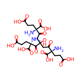 N[C@@](CCC(=O)O)(C(=O)O)C(=O)CC(O)(CC(=O)[C@](N)(CCC(=O)O)C(=O)O)C(=O)[C@](N)(CCC(=O)O)C(=O)O